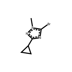 Cn1nc(C2CC2)nc1Br